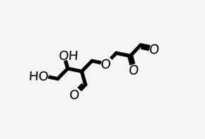 O=CC(=O)COCC(C=O)C(O)CO